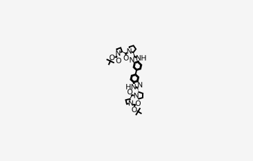 CC(C)(C)OC(=O)N1CC[C@H]1C(=O)N1CCC[C@H]1c1nc2cc(-c3ccc4[nH]c([C@@H]5CCCN5C(=O)[C@@H]5CCN5C(=O)OC(C)(C)C)nc4c3)ccc2[nH]1